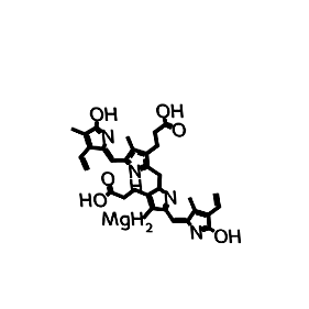 C=CC1=C(C)C(O)=NC1=Cc1[nH]c(CC2N=C(C=C3N=C(O)C(C=C)=C3C)C(C)=C2CCC(=O)O)c(CCC(=O)O)c1C.[MgH2]